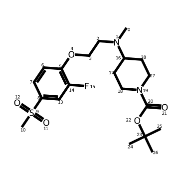 CN(CCOc1ccc(S(C)(=O)=O)cc1F)C1CCN(C(=O)OC(C)(C)C)CC1